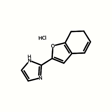 C1=Cc2cc(-c3ncc[nH]3)oc2CC1.Cl